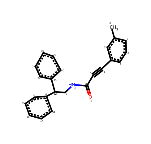 Cc1cccc(C#CC(=O)NCC(c2ccccc2)c2ccccc2)c1